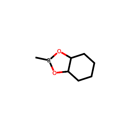 CB1OC2CCCCC2O1